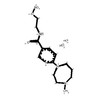 CN1CCCN(c2ccc(C(=O)NCCO[N+](=O)[O-])cn2)CC1.Cl.Cl